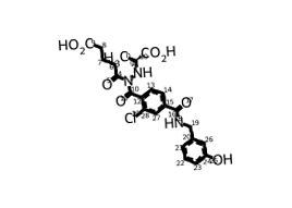 C[C@H](NN(C(=O)CCCC(=O)O)C(=O)c1ccc(C(=O)NCc2cccc(O)c2)cc1Cl)C(=O)O